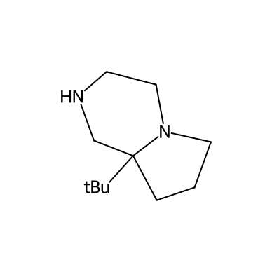 CC(C)(C)C12CCCN1CCNC2